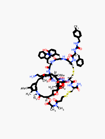 COc1cc2cc(c1C)N(C)C(=O)C[C@H](OC(=O)[C@H](C)N(C)C(=O)CCSSC[C@H](NC(=O)[C@@H]1CSSC[C@H](NC(=O)[C@@H](Cc3ccccc3)NC(=O)NCc3ccc(C(F)(F)F)cc3)C(=O)N[C@@H](Cc3ccc(O)cc3)C(=O)N[C@H](Cc3c[nH]c4ccccc34)C(=O)N[C@@H](CCCCN)C(=O)N[C@@H]([C@@H](C)O)C(=O)N1)C(N)=O)[C@@]1(C)CC(C)(O1)[C@@H]1C[C@@](O)(NC(=O)O1)[C@H](OC)/C=C/C=C(\C)C2